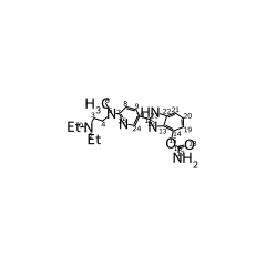 CCN(CC)CCN(C)c1ccc(-c2nc3c(OC(N)=O)cccc3[nH]2)cn1